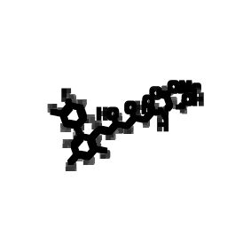 COC(=O)[C@H](CO)NC(=O)C[C@H](O)C[C@H](O)C=Cc1c(C)cc(C)cc1-c1ccc(F)c(C)c1